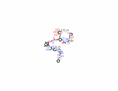 C/C(NCC12CC3(C)CC(C)(C1)CC(OCCNC(=O)OCc1ccc(NC(=O)[C@H](C)NC(=O)[C@@H](NC(=O)CN4C(=O)C=CC4=O)C(C)C)cc1CC[C@@H]1O[C@H](C(=O)O)[C@@H](O)[C@H](O)[C@H]1O)(C3)C2)=C(/C=N)c1ccc(N2CCn3cnc(C(=O)Nc4nc5ccccc5s4)c3C2)nc1C(=O)O